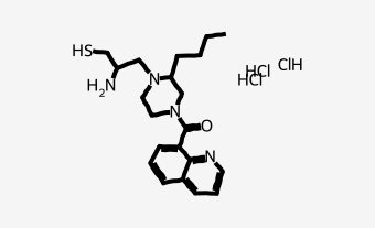 CCCCC1CN(C(=O)c2cccc3cccnc23)CCN1CC(N)CS.Cl.Cl.Cl